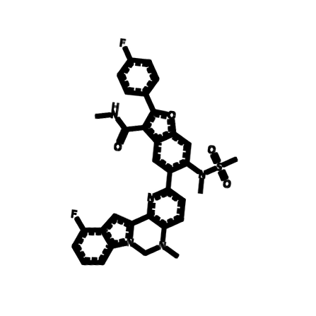 CNC(=O)c1c(-c2ccc(F)cc2)oc2cc(N(C)S(C)(=O)=O)c(-c3ccc4c(n3)-c3cc5c(F)cccc5n3CN4C)cc12